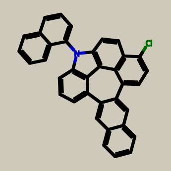 Clc1ccc2c3c1ccc1c3c3c(cccc3n1-c1cccc3ccccc13)-c1cc3ccccc3cc1-2